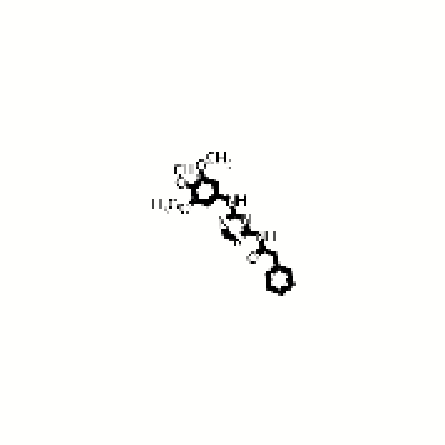 COc1cc(Nc2ncnc(NC(=O)Cc3ccccc3)n2)cc(OC)c1OC